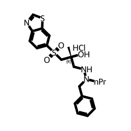 CCCN(Cc1ccccc1)NC[C@@](C)(O)CS(=O)(=O)c1ccc2ncsc2c1.Cl